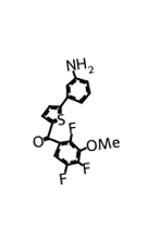 COc1c(F)c(F)cc(C(=O)c2ccc(-c3cccc(N)c3)s2)c1F